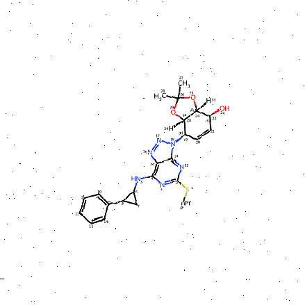 CCCSc1nc(NC2CC2c2ccccc2)c2nnn([C@@H]3C=C[C@H](O)[C@H]4OC(C)(C)O[C@H]43)c2n1